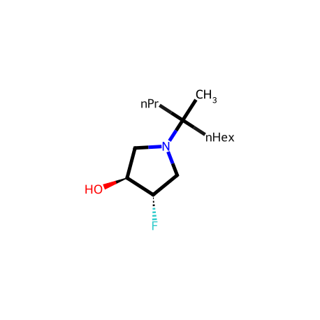 CCCCCCC(C)(CCC)N1C[C@H](O)[C@@H](F)C1